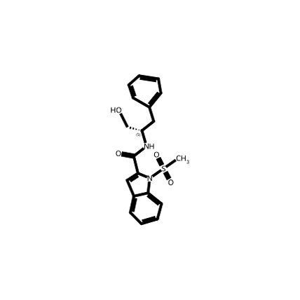 CS(=O)(=O)n1c(C(=O)N[C@H](CO)Cc2ccccc2)cc2ccccc21